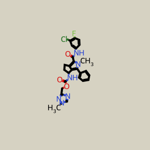 Cn1cnc(COC(=O)NC2CCc3c2c(-c2ccccc2)n(C)c3C(=O)Nc2ccc(F)c(Cl)c2)n1